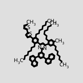 CCCCCCCCc1cc(-c2cc(-c3cc(CCCCCCCC)c(-c4ccc(-c5ccc(C)s5)s4)cc3CCCCCCCC)nc(-c3cc(-c4cccc5ccccc45)cc(-c4cccc5ccccc45)c3)n2)c(CCCCCCCC)cc1C